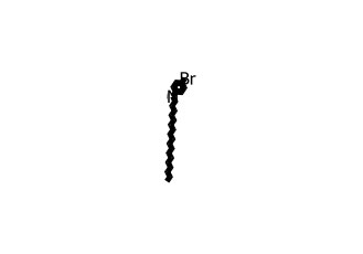 CCCCCCCCCCCCCCCCCCN(C)c1ccc(Br)cc1